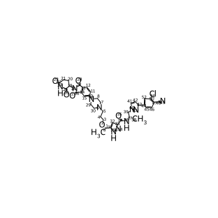 CC(OCCCN1CCN(c2ccc3c(c2)C(=O)N(C2CCC(=O)NC2=O)C3=O)CC1)c1cc(C(=O)N[C@@H](C)Cn2ccc(-c3ccc(C#N)c(Cl)c3)n2)n[nH]1